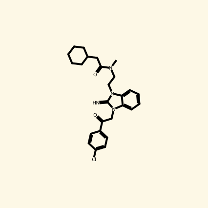 CN(CCn1c(=N)n(CC(=O)c2ccc(Cl)cc2)c2ccccc21)C(=O)CC1CCCCC1